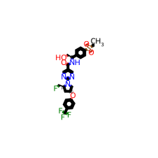 CCS(=O)(=O)c1ccc([C@H](CO)NC(=O)c2cnc(N3C[C@H](Oc4ccc(C(F)(F)F)cc4)C[C@H]3CF)nc2)cc1